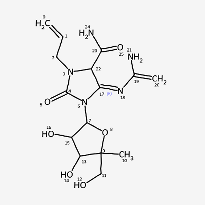 C=CCN1C(=O)N(C2OC(C)(CO)C(O)C2O)/C(=N/C(=C)N)C1C(N)=O